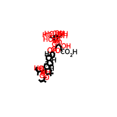 C/C=C(/C)C(=O)O[C@H]1[C@H](OC(=O)/C(C)=C\C)[C@]2(CO)[C@H](O)C[C@]3(C)C(=CC[C@@H]4[C@@]5(C)CC[C@H](O[C@@H]6O[C@H](C(=O)O)[C@@H](O)[C@H](O[C@@H]7O[C@@H](CO)[C@H](O)[C@H]7O)[C@H]6O[C@@H]6O[C@H](CO)[C@@H](O)[C@H](O)[C@H]6O)[C@](C)(O)[C@@H]5CC[C@]43C)[C@@H]2CC1(C)C